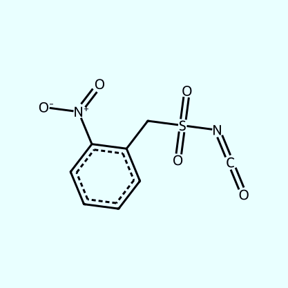 O=C=NS(=O)(=O)Cc1ccccc1[N+](=O)[O-]